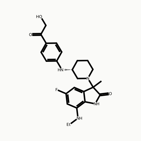 CCNc1cc(F)cc2c1NC(=O)C2(C)N1CCC[C@@H](Nc2ccc(C(=O)CO)cc2)C1